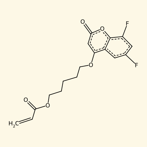 C=CC(=O)OCCCCCOc1cc(=O)oc2c(F)cc(F)cc12